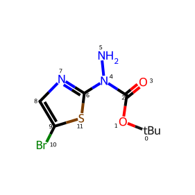 CC(C)(C)OC(=O)N(N)c1ncc(Br)s1